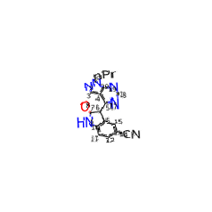 CCCn1ncc2c(C3C(=O)Nc4ccc(C#N)cc43)ncnc21